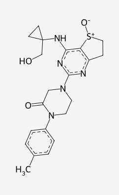 Cc1ccc(N2CCN(c3nc4c(c(NC5(CO)CC5)n3)[S+]([O-])CC4)CC2=O)cc1